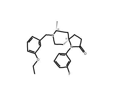 CCOc1cccc(CN2CC[C@@]3(CCC(=O)N3c3cccc(F)c3)C[C@H]2C)c1